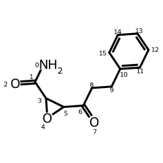 NC(=O)C1OC1C(=O)CCc1ccccc1